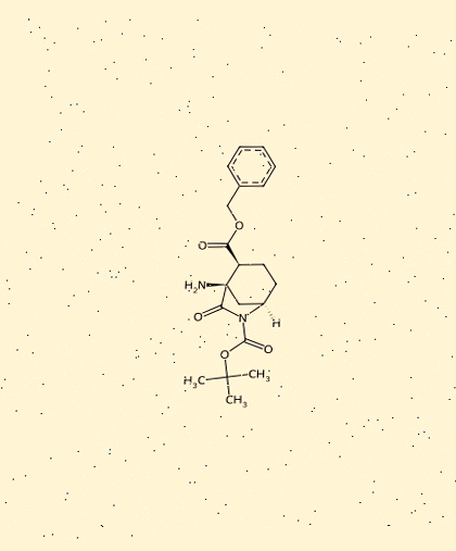 CC(C)(C)OC(=O)N1C(=O)[C@@]2(N)C[C@H]1CC[C@@H]2C(=O)OCc1ccccc1